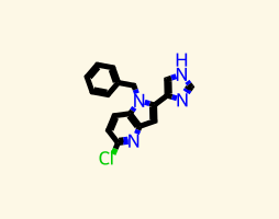 Clc1ccc2c(cc(-c3c[nH]cn3)n2Cc2ccccc2)n1